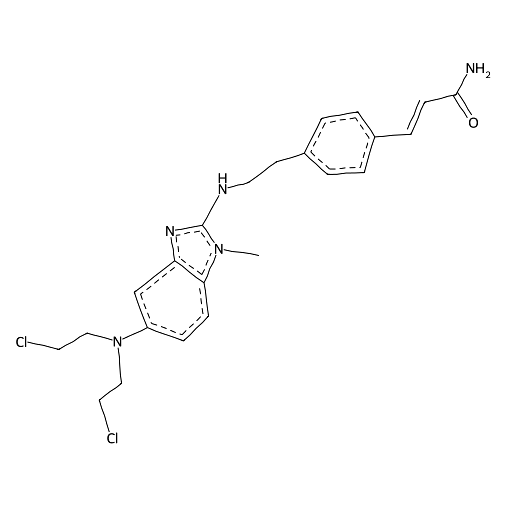 Cn1c(NCCc2ccc(/C=C/C(N)=O)cc2)nc2cc(N(CCCl)CCCl)ccc21